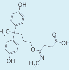 C/N=C(/CCC(=O)O)OCCCC(C)(C1=C=C=C(O)C=C1)c1ccc(O)cc1